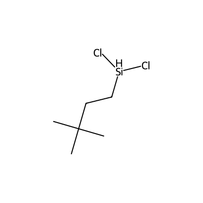 CC(C)(C)CC[SiH](Cl)Cl